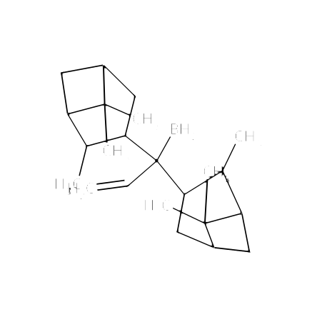 BC(C=C)(C1CC2CC(C1C)C2(C)C)C1CC2CC(C1C)C2(C)C